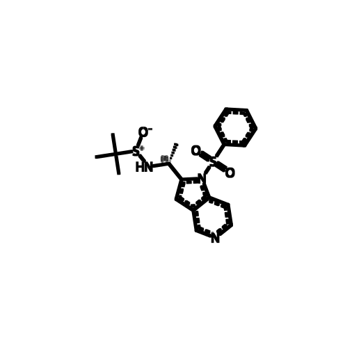 C[C@@H](N[S+]([O-])C(C)(C)C)c1cc2cnccc2n1S(=O)(=O)c1ccccc1